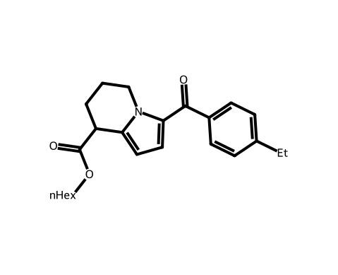 CCCCCCOC(=O)C1CCCn2c(C(=O)c3ccc(CC)cc3)ccc21